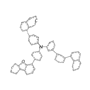 c1cc(-c2cccc(N(c3ccc(-c4cccc5ccccc45)cc3)c3ccc(-c4cccc5c4oc4ccccc45)cc3)c2)cc(-c2cccc3ccccc23)c1